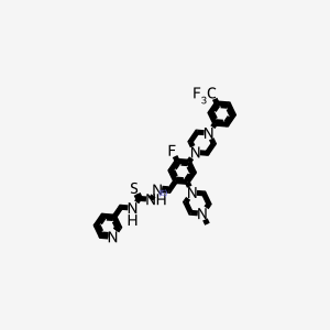 CN1CCN(c2cc(N3CCN(c4cccc(C(F)(F)F)c4)CC3)c(F)cc2/C=N/NC(=S)NCc2cccnc2)CC1